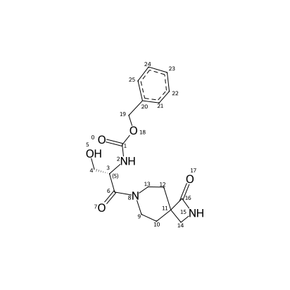 O=C(N[C@@H](CO)C(=O)N1CCC2(CC1)CNC2=O)OCc1ccccc1